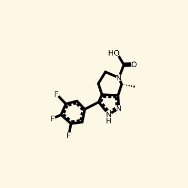 C[C@@H]1c2n[nH]c(-c3cc(F)c(F)c(F)c3)c2CCN1C(=O)O